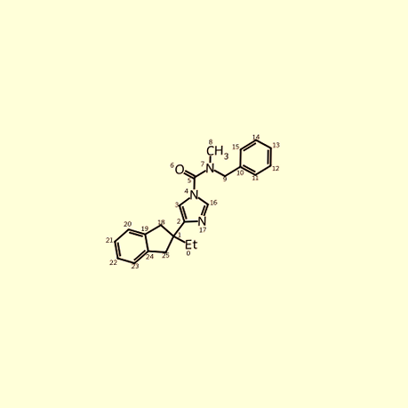 CCC1(c2cn(C(=O)N(C)Cc3ccccc3)cn2)Cc2ccccc2C1